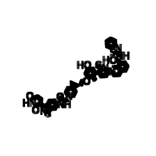 Cc1c(OCC[C@H]2CC23CCN(CC(=O)Nc2ccc4c(C5CCC(=O)NC5=O)nn(C)c4c2)CC3)cccc1-c1ccc(N2CCc3cccc(C(O)Nc4nc5ccccc5s4)c3C2)nc1C(=O)O